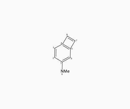 CNc1ccc2c(c1)C=C2